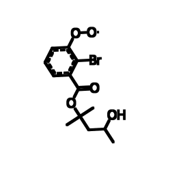 CC(O)CC(C)(C)OC(=O)c1cccc(O[O])c1Br